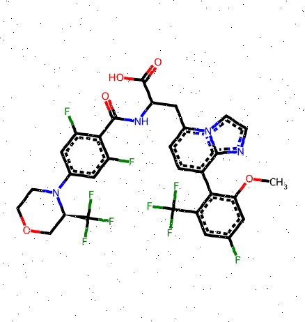 COc1cc(F)cc(C(F)(F)F)c1-c1ccc(CC(NC(=O)c2c(F)cc(N3CCOC[C@@H]3C(F)(F)F)cc2F)C(=O)O)n2ccnc12